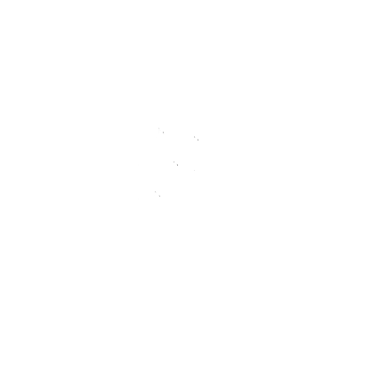 CC(C)=C(c1ccccc1)c1ccc2nc(N)n(C3=NCCS3)c2c1